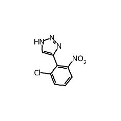 O=[N+]([O-])c1cccc(Cl)c1-c1c[nH]nn1